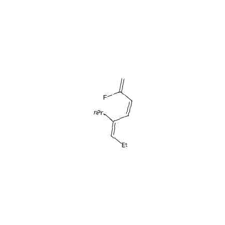 C=C(F)/C=C\C(=C/CC)CCC